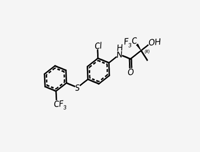 C[C@@](O)(C(=O)Nc1ccc(Sc2ccccc2C(F)(F)F)cc1Cl)C(F)(F)F